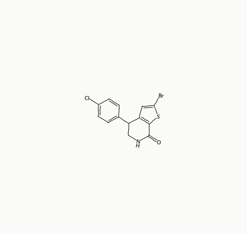 O=C1NCC(c2ccc(Cl)cc2)c2cc(Br)sc21